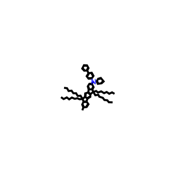 CCCCCCCCC1(CCCCCCCC)c2cc(C)ccc2-c2cc3c(cc21)-c1ccc(N(c2ccccc2)c2ccc(-c4ccccc4)cc2)cc1C3(CCCCCCCC)CCCCCCCC